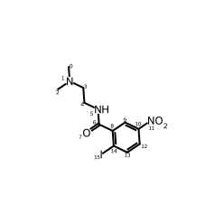 CN(C)CCNC(=O)c1cc([N+](=O)[O-])ccc1I